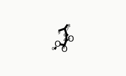 COC(=O)C1OC1C(C)C